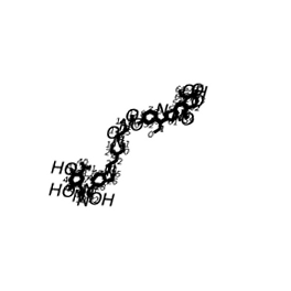 CCc1c2c(nc3ccc(OC(=O)N(C)CC(=O)N4CCC(CCN5C=CC6C=C(n7c(O)nnc7-c7cc(C(C)C)c(O)cc7O)C=CC65)CC4)cc13)-c1cc3c(c(=O)n1C2)COC(=O)[C@]3(O)CC